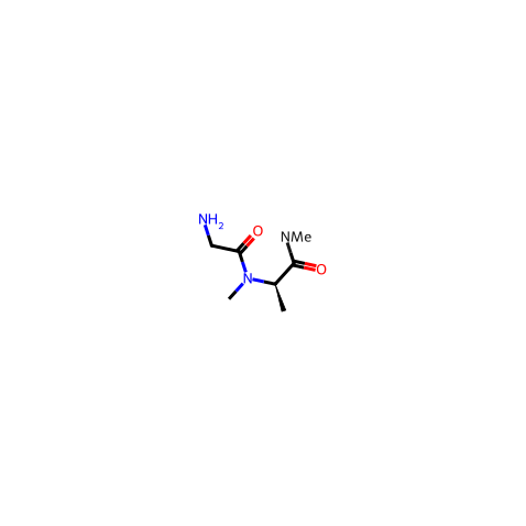 CNC(=O)[C@@H](C)N(C)C(=O)CN